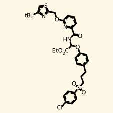 CCOC(=O)C(NC(=O)c1cccc(OCc2nc(C(C)(C)C)cs2)n1)Oc1ccc(CCCS(=O)(=O)c2ccc(Cl)cc2)cc1